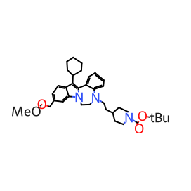 COOCc1ccc2c(C3CCCCC3)c3n(c2c1)CCN(CCC1CCN(C(=O)OC(C)(C)C)CC1)c1ccccc1-3